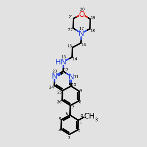 Cc1ccccc1-c1ccc2nc(NCCCN3CCOCC3)ncc2c1